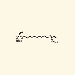 C=CP(OCCCC)OCCCCCCCCCCOP(C=C)OCCCC